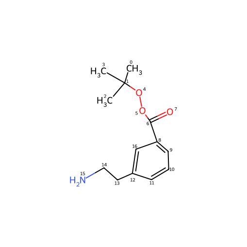 CC(C)(C)OOC(=O)c1cccc(CCN)c1